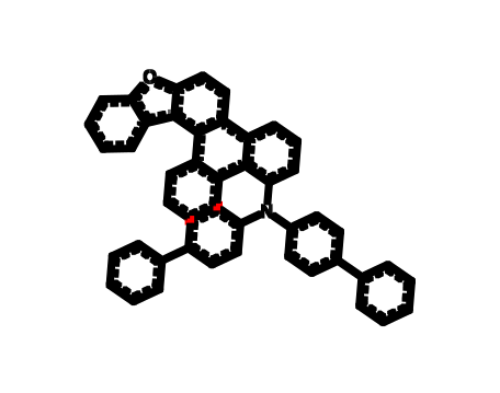 c1ccc(-c2ccc(N(c3ccc(-c4ccccc4)cc3)c3cccc4c5ccc6oc7ccccc7c6c5c5ccccc5c34)cc2)cc1